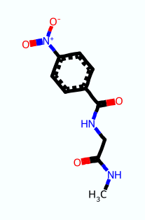 CNC(=O)CNC(=O)c1ccc([N+](=O)[O-])cc1